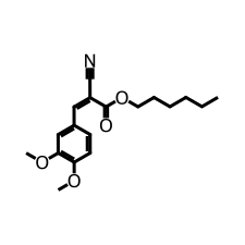 CCCCCCOC(=O)C(C#N)=Cc1ccc(OC)c(OC)c1